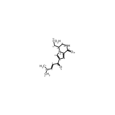 CN(C)/C=C/C(=O)c1cc2n(c1)C(CC(=O)O)CNC2=O